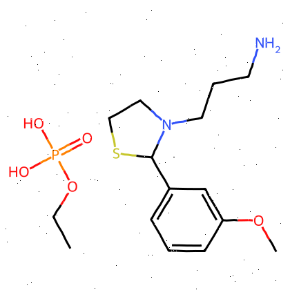 CCOP(=O)(O)O.COc1cccc(C2SCCN2CCCN)c1